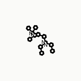 c1ccc(-c2cccc(-c3cc(-c4cccc(-c5ccc6c(c5)cc(-c5ccccc5)n5nc(-c7ccccc7)c(-c7ccccc7)c65)c4)nc(-c4cccc(-c5ccccc5)c4)n3)c2)cc1